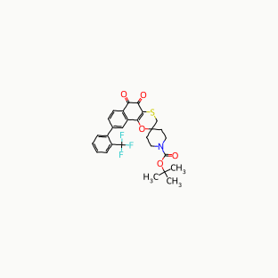 CC(C)(C)OC(=O)N1CCC2(CC1)CSC1=C(O2)c2cc(-c3ccccc3C(F)(F)F)ccc2C(=O)C1=O